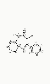 CC1C(=O)N(C)c2ccccc2N=C1c1ccccc1